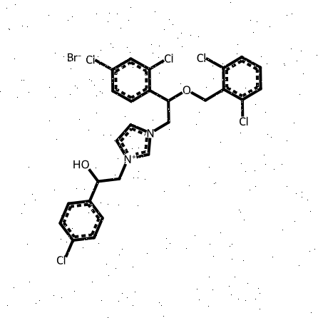 OC(C[n+]1ccn(CC(OCc2c(Cl)cccc2Cl)c2ccc(Cl)cc2Cl)c1)c1ccc(Cl)cc1.[Br-]